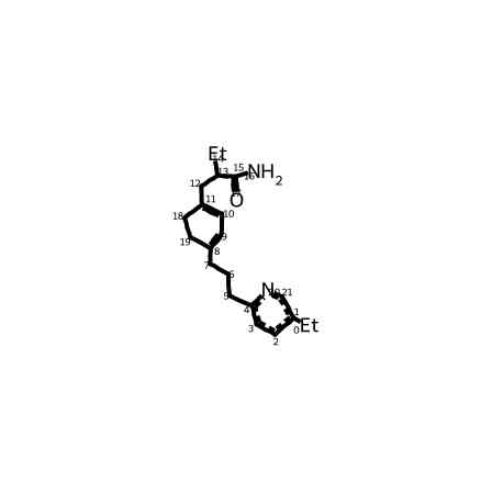 CCc1ccc(CCCC2=CC=C(CC(CC)C(N)=O)CC2)nc1